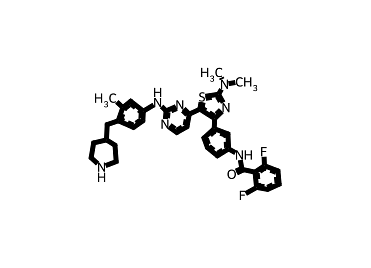 Cc1cc(Nc2nccc(-c3sc(N(C)C)nc3-c3cccc(NC(=O)c4c(F)cccc4F)c3)n2)ccc1CC1CCNCC1